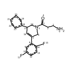 NCCC(=O)N1CC(c2cc(F)ccc2F)=CC(c2ccccc2)C1